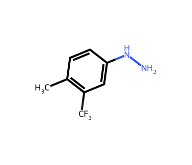 Cc1ccc(NN)cc1C(F)(F)F